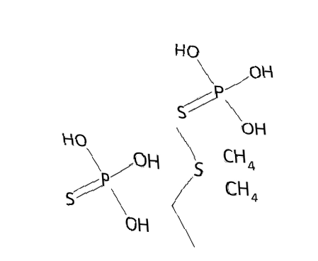 C.C.CCSC.OP(O)(O)=S.OP(O)(O)=S